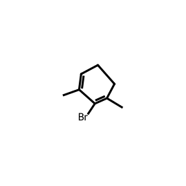 CC1=CCCC(C)=C1Br